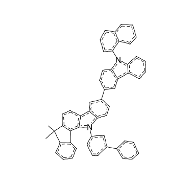 CC1(C)c2ccccc2-c2c1ccc1c3cc(-c4ccc5c(c4)c4ccccc4n5-c4cccc5ccccc45)ccc3n(-c3cccc(-c4ccccc4)c3)c21